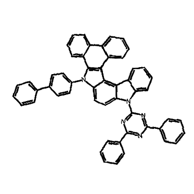 c1ccc(-c2ccc(-n3c4ccc5c(c6ccccc6n5-c5nc(-c6ccccc6)nc(-c6ccccc6)n5)c4c4c5ccccc5c5ccccc5c43)cc2)cc1